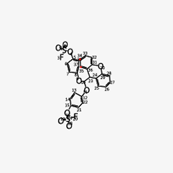 O=S(=O)(F)Oc1ccc(OC(Oc2ccc(OS(=O)(=O)F)cc2)C2c3ccccc3Oc3ccccc32)cc1